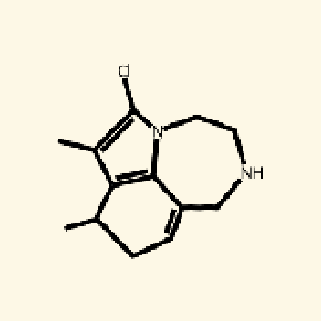 Cc1c2c3n(c1Cl)CCNCC3=CCC2C